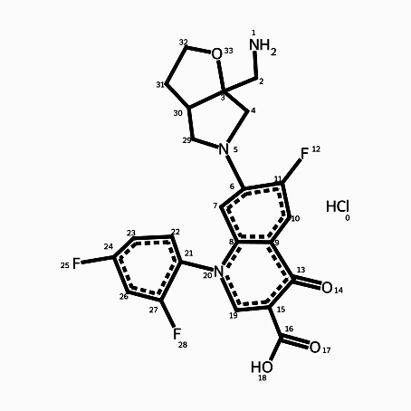 Cl.NCC12CN(c3cc4c(cc3F)c(=O)c(C(=O)O)cn4-c3ccc(F)cc3F)CC1CCO2